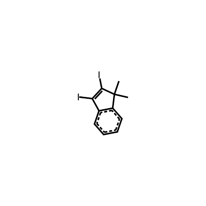 CC1(C)C(I)=C(I)c2ccccc21